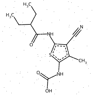 CCC(CC)C(=O)Nc1sc(NC(=O)O)c(C)c1C#N